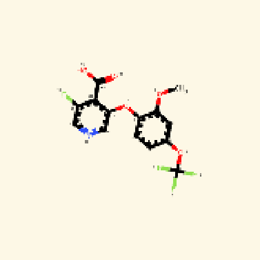 COc1cc(OC(F)(F)F)ccc1Oc1cncc(F)c1C(=O)O